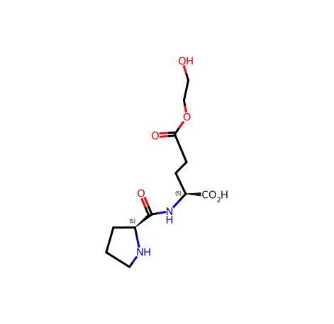 O=C(CC[C@H](NC(=O)[C@@H]1CCCN1)C(=O)O)OCCO